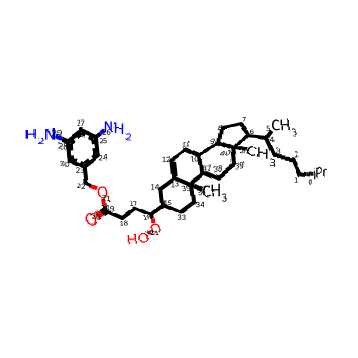 CC(C)CCCC(C)C1CCC2C3CC=C4CC(C(CCC(=O)OCc5cc(N)cc(N)c5)OO)CCC4(C)C3CCC12C